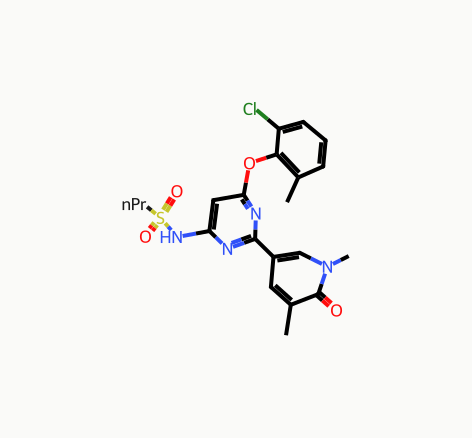 CCCS(=O)(=O)Nc1cc(Oc2c(C)cccc2Cl)nc(-c2cc(C)c(=O)n(C)c2)n1